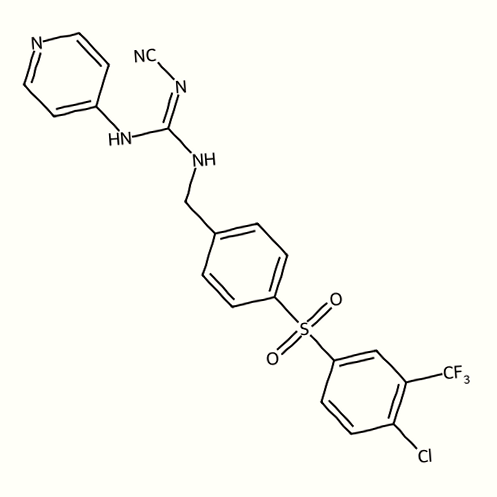 N#CN=C(NCc1ccc(S(=O)(=O)c2ccc(Cl)c(C(F)(F)F)c2)cc1)Nc1ccncc1